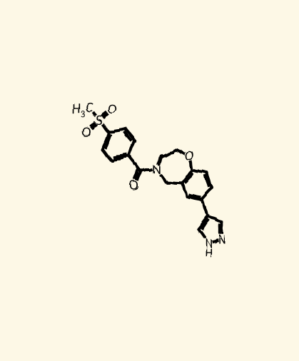 CS(=O)(=O)c1ccc(C(=O)N2CCOc3ccc(-c4cn[nH]c4)cc3C2)cc1